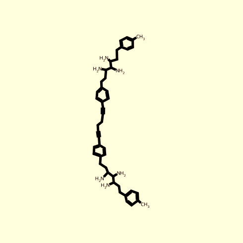 Cc1ccc(CCC(N)C(N)C(N)CCc2ccc(C#CCCC#Cc3ccc(CCC(N)C(N)C(N)CCc4ccc(C)cc4)cc3)cc2)cc1